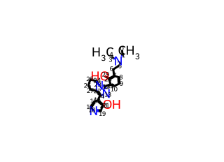 CCN(CC)CCc1cccc(-c2nc(-c3ccncc3O)c3n2CCCC3)c1O